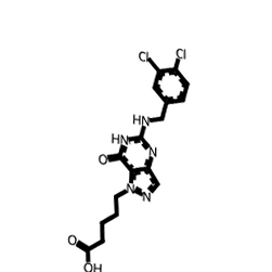 O=C(O)CCCCn1ncc2nc(NCc3ccc(Cl)c(Cl)c3)[nH]c(=O)c21